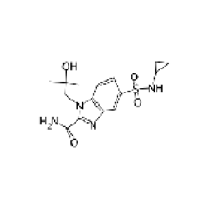 CC(C)(O)Cn1c(C(N)=O)nc2cc(S(=O)(=O)NC3CC3)ccc21